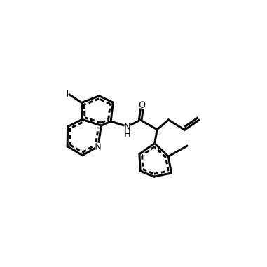 C=CCC(C(=O)Nc1ccc(I)c2cccnc12)c1ccccc1C